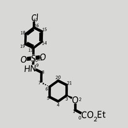 CCOC(=O)CO[C@H]1CC[C@H](CCNS(=O)(=O)c2ccc(Cl)cc2)CC1